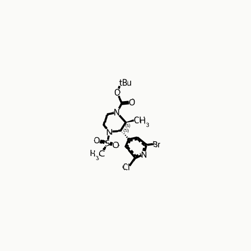 C[C@H]1[C@H](c2cc(Cl)nc(Br)c2)N(S(C)(=O)=O)CCN1C(=O)OC(C)(C)C